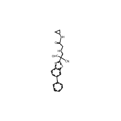 N#CC(C=O)(CNCC(=O)NC1CC1)c1nc2ccc(-c3ccccc3)cc2s1